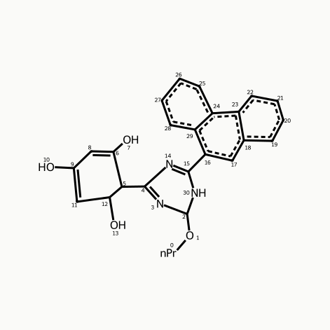 CCCOC1N=C(C2C(O)=CC(O)=CC2O)N=C(c2cc3ccccc3c3ccccc23)N1